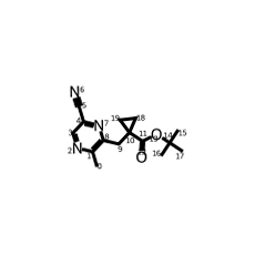 Cc1ncc(C#N)nc1CC1(C(=O)OC(C)(C)C)CC1